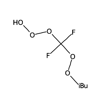 CCC(C)OOC(F)(F)OOO